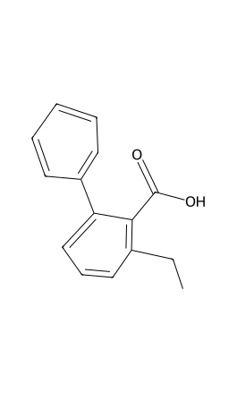 CCc1cccc(-c2ccccc2)c1C(=O)O